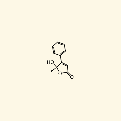 C[C@]1(O)OC(=O)C=C1c1ccccc1